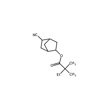 CCC(C)(C)C(=O)OC1CC2CC1CC2C#N